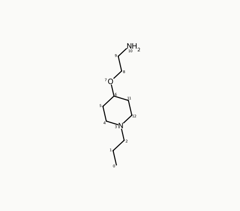 CCCN1CCC(OCCN)CC1